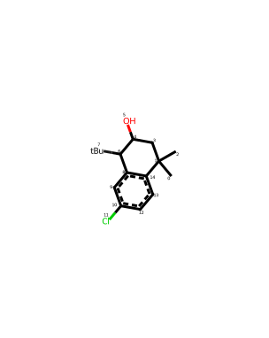 CC1(C)CC(O)C(C(C)(C)C)c2cc(Cl)ccc21